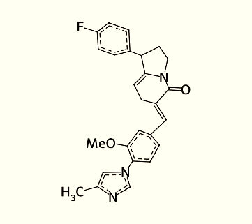 COc1cc(C=C2CC=C3C(c4ccc(F)cc4)CCN3C2=O)ccc1-n1cnc(C)c1